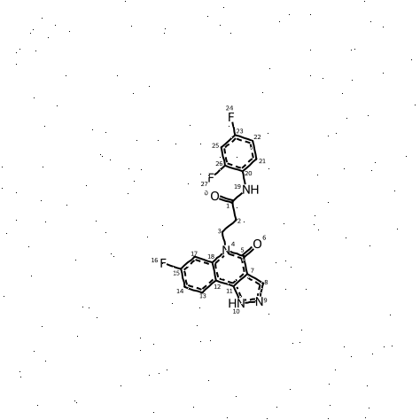 O=C(CCn1c(=O)c2cn[nH]c2c2ccc(F)cc21)Nc1ccc(F)cc1F